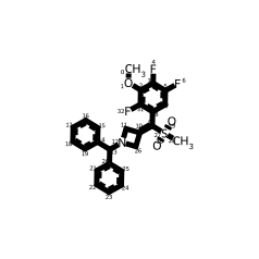 COc1c(F)c(F)cc(C(=C2CN(C(c3ccccc3)c3ccccc3)C2)S(C)(=O)=O)c1F